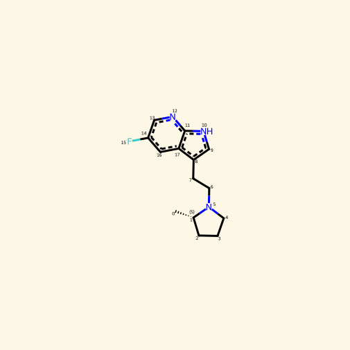 C[C@H]1CCCN1CCc1c[nH]c2ncc(F)cc12